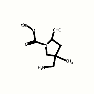 CC1(CN)CC(C=O)N(C(=O)OC(C)(C)C)C1